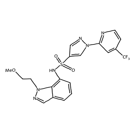 COCCn1ncc2cccc(NS(=O)(=O)c3cnn(-c4cc(C(F)(F)F)ccn4)c3)c21